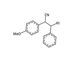 [CH2]CC(c1ccccc1)C(C#N)c1ccc(OC)cc1